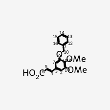 COc1cc(C=CC(=O)O)cc(OCc2ccccc2)c1OC